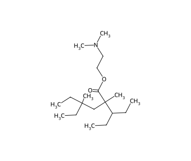 CCC(CC)C(C)(CC(C)(CC)CC)C(=O)OCCN(C)C